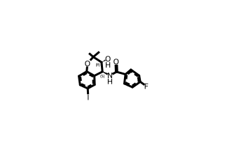 CC1(C)Oc2ccc(I)cc2[C@H](NC(=O)c2ccc(F)cc2)[C@H]1O